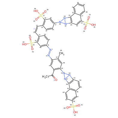 CC(=O)c1cc(N=Nc2ccc(/C=C\c3ccc(-n4n5c6cc(S(=O)(=O)O)c7ccccc7c6n45)cc3S(=O)(=O)O)c(S(=O)(=O)O)c2)c(C)cc1-n1n2c3ccc4cc(S(=O)(=O)O)ccc4c3n12